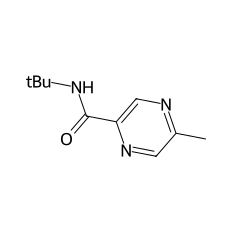 Cc1cnc(C(=O)NC(C)(C)C)cn1